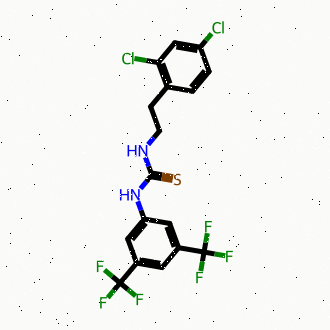 FC(F)(F)c1cc(NC(=S)NCCc2ccc(Cl)cc2Cl)cc(C(F)(F)F)c1